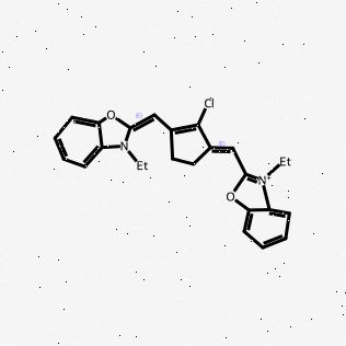 CCN1/C(=C\C2=C(Cl)C(=C/c3oc4ccccc4[n+]3CC)/CC2)Oc2ccccc21